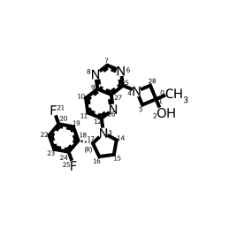 CC1(O)CN(c2ncnc3ccc(N4CCC[C@@H]4c4cc(F)ccc4F)nc23)C1